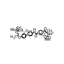 CC(CO[Si](C)(C)C(C)(C)C)Oc1ccc(-n2ccc(NC(=O)N3CCN(C(=O)C(C)(C)NC(=O)OC(C)(C)C)CC3)nc2=O)cc1